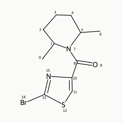 CC1CCCC(C)N1C(=O)c1csc(Br)n1